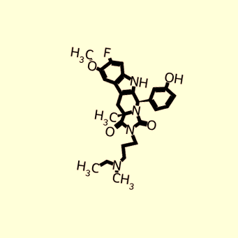 CCN(C)CCCN1C(=O)N2[C@H](c3cccc(O)c3)c3[nH]c4cc(F)c(OC)cc4c3C[C@@]2(C)C1=O